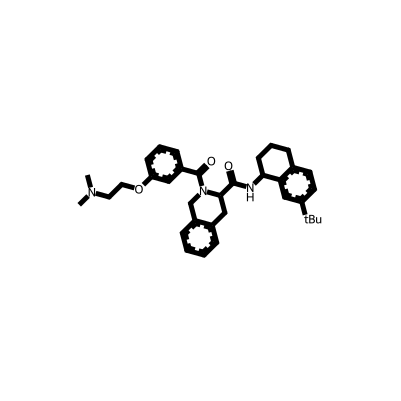 CN(C)CCOc1cccc(C(=O)N2Cc3ccccc3CC2C(=O)NC2CCCc3ccc(C(C)(C)C)cc32)c1